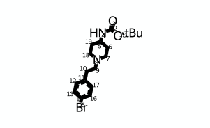 CC(C)(C)OC(=O)NC1CCN(CCc2ccc(Br)cc2)CC1